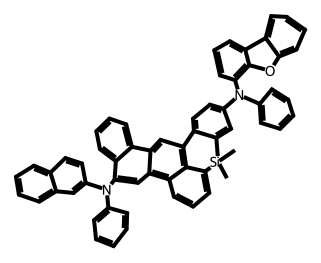 C[Si]1(C)c2cc(N(c3ccccc3)c3cccc4c3oc3ccccc34)ccc2-c2cc3c4ccccc4c(N(c4ccccc4)c4ccc5ccccc5c4)cc3c3cccc1c23